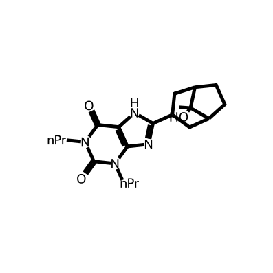 CCCn1c(=O)c2[nH]c(C3CC4CCC(C3)C4(C)O)nc2n(CCC)c1=O